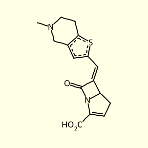 CN1CCc2sc(C=C3C(=O)N4C(C(=O)O)=CCC34)cc2C1